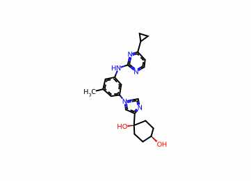 Cc1cc(Nc2nccc(C3CC3)n2)cc(-n2cnc([C@]3(O)CC[C@@H](O)CC3)c2)c1